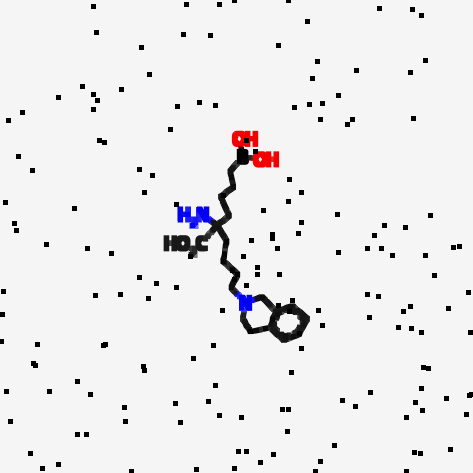 NC(CCCCB(O)O)(CCCCN1CCc2ccccc2C1)C(=O)O